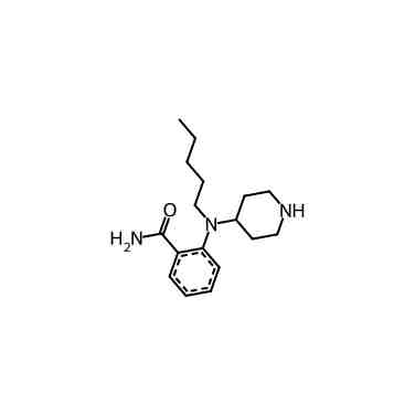 CCCCCN(c1ccccc1C(N)=O)C1CCNCC1